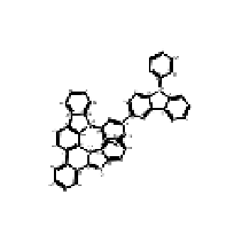 c1ccc(-n2c3ccccc3c3cc(-c4ccnc(-n5c6ccccc6c6ccc7c8ccccc8c8nc9ccccc9n8c7c65)c4)ccc32)cc1